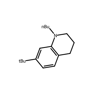 CCCCN1CCCc2ccc(C(C)(C)C)cc21